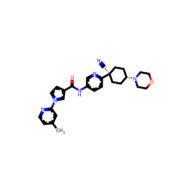 Cc1ccnc(-n2ccc(C(=O)Nc3ccc([C@]4(C#N)CC[C@@H](N5CCOCC5)CC4)nc3)c2)c1